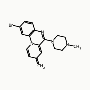 C=C1C=CN2C(=C1)C(N1CCN(C)CC1)=Nc1ccc(Br)cc12